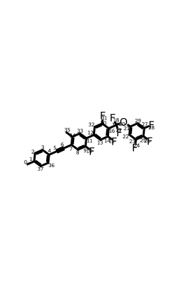 Cc1ccc(C#Cc2cc(F)c(-c3cc(F)c(C(F)(F)Oc4cc(F)c(F)c(F)c4)c(F)c3)cc2C)cc1